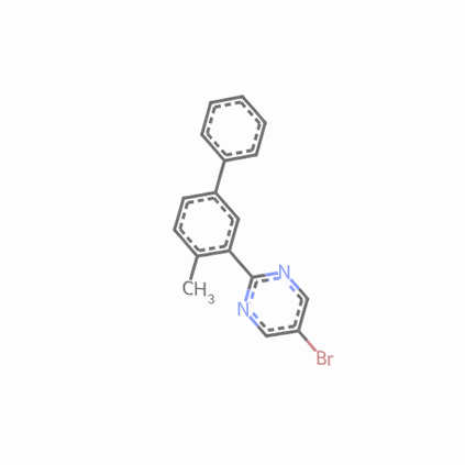 Cc1ccc(-c2ccccc2)cc1-c1ncc(Br)cn1